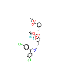 COC(O[Si](C)(C)C)(C(CCc1cccc(C(=O)OC(C)(C)C)c1)Oc1ccc(CCCN(C)CC(c2ccc(Cl)cc2)c2ccc(Cl)cc2)cc1)C(F)(F)F